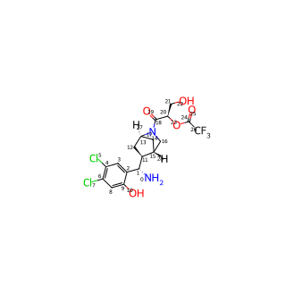 N[C@H](c1cc(Cl)c(Cl)cc1O)[C@H]1C[C@@H]2C[C@@H]1CN2C(=O)[C@@H](CO)OC(=O)C(F)(F)F